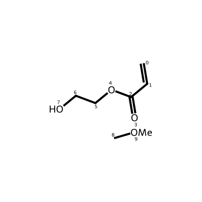 C=CC(=O)OCCO.COC